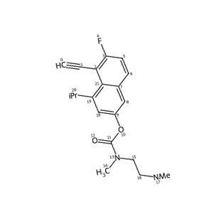 C#Cc1c(F)ccc2cc(OC(=O)N(C)CCNC)cc(C(C)C)c12